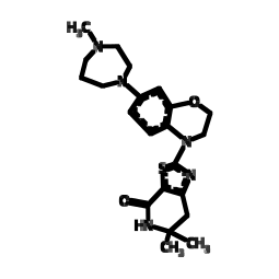 CN1CCCN(c2ccc3c(c2)OCCN3c2nc3c(s2)C(=O)NC(C)(C)C3)CC1